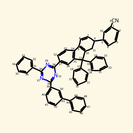 N#Cc1cccc(C2C=CC3=C(C2)C(c2ccccc2)(c2ccccc2)c2cc(-c4nc(-c5ccccc5)nc(-c5cccc(-c6ccccc6)c5)n4)ccc23)c1